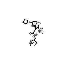 CC1(C)OCC(CONC(=O)c2c(N)nn3ccc(N4CCCC4)nc23)O1